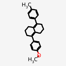 COc1ccc(C2=C3CCCC(c4ccc(C)cc4)=C3CCC2)cc1